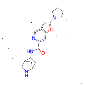 O=C(NC1CC2CC1CN2)c1cc2oc(N3CCCC3)cc2cn1